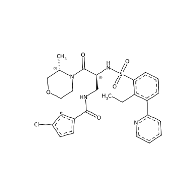 CCc1c(-c2ccccn2)cccc1S(=O)(=O)N[C@@H](CNC(=O)c1ccc(Cl)s1)C(=O)N1CCOC[C@@H]1C